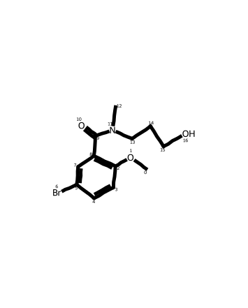 COc1ccc(Br)cc1C(=O)N(C)CCCO